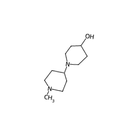 CN1CCC(N2CCC(O)CC2)CC1